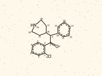 O=C(c1ccccc1Cl)C(c1ccccc1)C1CCNCC1